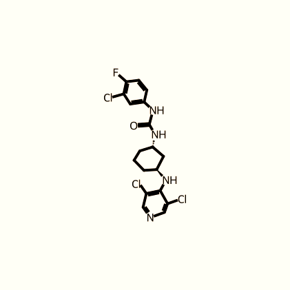 O=C(Nc1ccc(F)c(Cl)c1)N[C@H]1CCC[C@H](Nc2c(Cl)cncc2Cl)C1